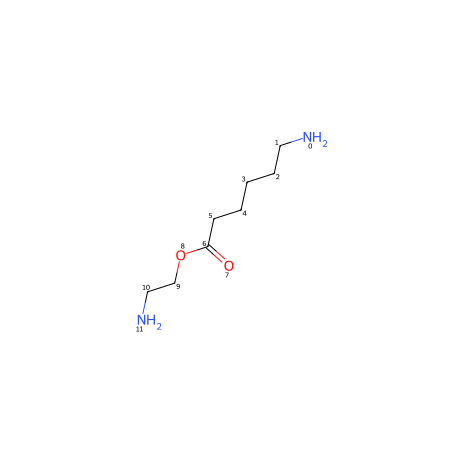 NCCCCCC(=O)OCCN